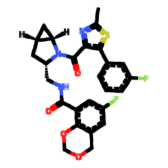 Cc1nc(C(=O)N2[C@H](CNC(=O)c3cc(F)cc4c3OCOC4)C[C@@H]3C[C@@H]32)c(-c2cccc(F)c2)s1